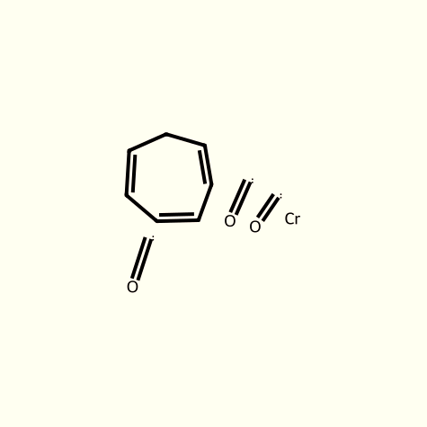 C1=CC=CCC=C1.[C]=O.[C]=O.[C]=O.[Cr]